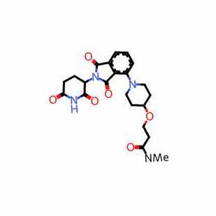 CNC(=O)CCOC1CCN(c2cccc3c2C(=O)N(C2CCC(=O)NC2=O)C3=O)CC1